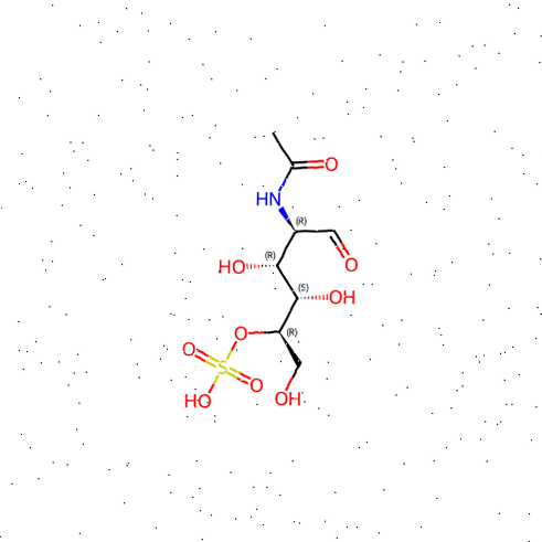 CC(=O)N[C@@H](C=O)[C@@H](O)[C@H](O)[C@@H](CO)OS(=O)(=O)O